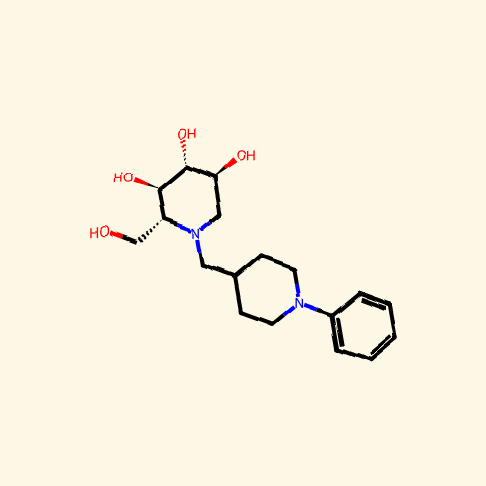 OC[C@@H]1[C@@H](O)[C@H](O)[C@@H](O)CN1CC1CCN(c2ccccc2)CC1